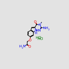 CN(C(=N)N)C(=O)c1cc2ccc(OCC(N)=O)cc2[nH]1.Cl.Cl